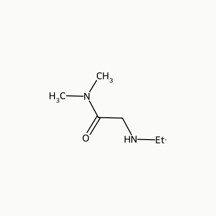 C[CH]NCC(=O)N(C)C